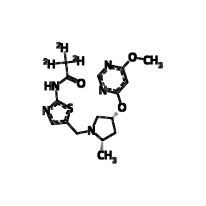 [2H]C([2H])([2H])C(=O)Nc1ncc(CN2C[C@H](Oc3cc(OC)ncn3)C[C@@H]2C)s1